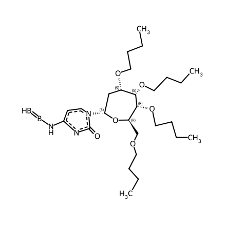 B=BNc1ccn([C@@H]2C[C@H](OCCCC)[C@H](OCCCC)[C@H](OCCCC)[C@@H](COCCCC)O2)c(=O)n1